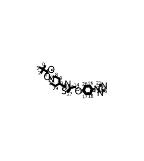 CC(C)(C)C(=O)ON1CCC(c2nc(COc3ccc(-n4cncn4)cc3)cs2)CC1